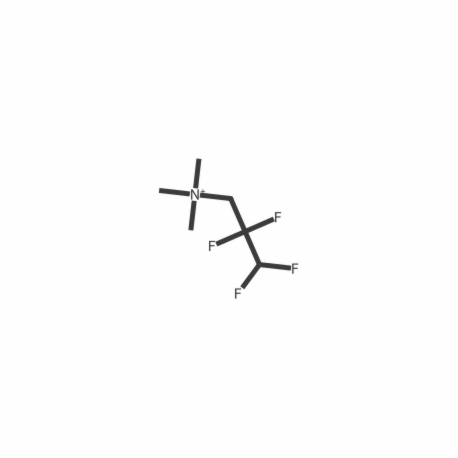 C[N+](C)(C)CC(F)(F)C(F)F